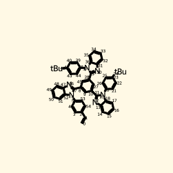 C=Cc1ccc(-n2c(-c3cc(-c4nc5ccccc5n4-c4ccc(C(C)(C)C)cc4)cc(-c4nc5ccccc5n4-c4ccc(C(C)(C)C)cc4)c3)nc3ccccc32)cc1